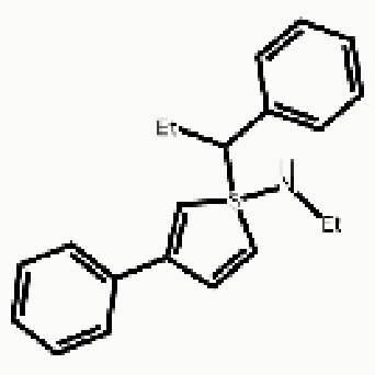 CCNS1(C(CC)c2ccccc2)C=CC(c2ccccc2)=C1